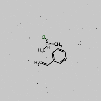 C=Cc1ccccc1.[CH3][GeH]([CH3])[Cl]